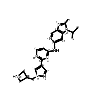 Cc1nc2cnc(Nc3ccnc(-c4cnn(CC5CNC5)c4)n3)cc2n1C(C)C